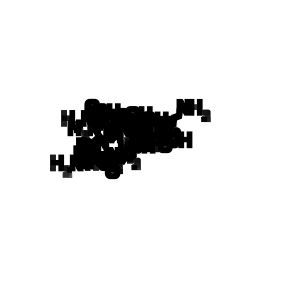 N=C(N)NCCC[C@](N)(C(=O)O)C(=O)[C@@H](N)CCCCN.NCC(=O)O.NCC(=O)O.N[C@@H](Cc1ccc(O)cc1)C(=O)O.Nc1nc(N)c2nc(CNc3ccc(C(=O)NC(CCC(=O)O)C(=O)O)cc3)cnc2n1